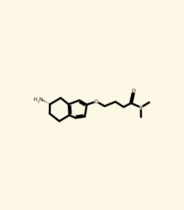 CN(C)C(=O)CCCOc1ccc2c(c1)C[C@@H](N)CC2